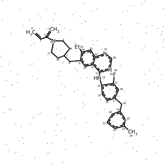 C=CC(=C)N1CCC(Cc2cc3c(Nc4ccc(Cc5cccc(C)c5)cc4F)ncnc3cc2CC)CC1